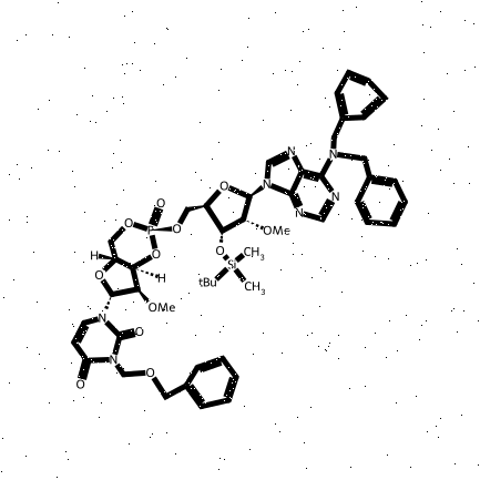 CO[C@@H]1[C@@H]2O[P@](=O)(OC[C@H]3O[C@@H](n4cnc5c(N(Cc6ccccc6)Cc6ccccc6)ncnc54)[C@H](OC)[C@@H]3O[Si](C)(C)C(C)(C)C)OC[C@H]2O[C@H]1n1ccc(=O)n(COCc2ccccc2)c1=O